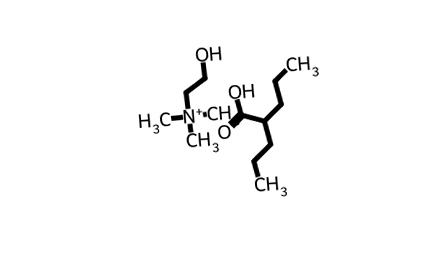 CCCC(CCC)C(=O)O.C[N+](C)(C)CCO